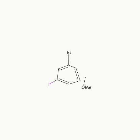 CCc1cccc(I)c1.COC